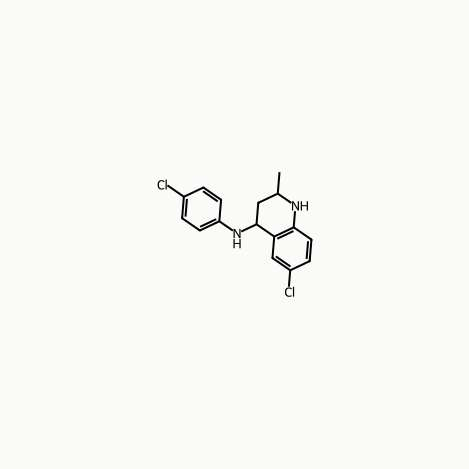 CC1CC(Nc2ccc(Cl)cc2)c2cc(Cl)ccc2N1